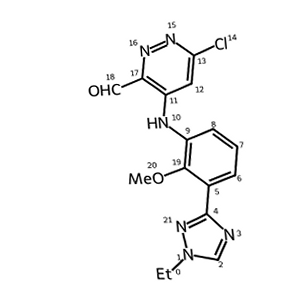 CCn1cnc(-c2cccc(Nc3cc(Cl)nnc3C=O)c2OC)n1